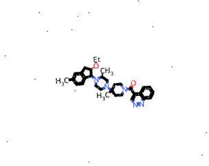 CCO[C@@H]1Cc2cc(C)ccc2C1N1CCN(C2(C)CCN(C(=O)c3cnnc4ccccc34)CC2)C[C@@H]1C